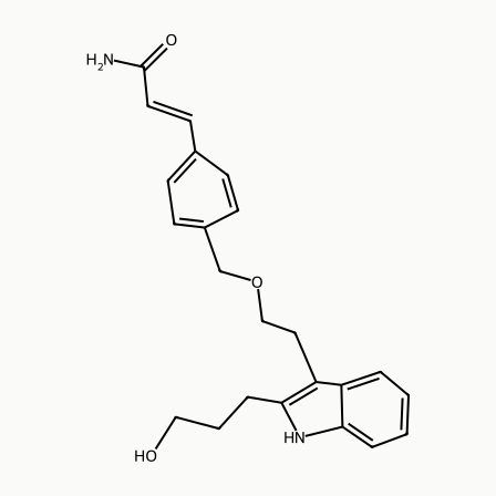 NC(=O)/C=C/c1ccc(COCCc2c(CCCO)[nH]c3ccccc23)cc1